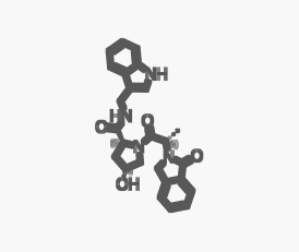 C[C@@H](C(=O)N1C[C@H](O)C[C@H]1C(=O)NCc1c[nH]c2ccccc12)N1Cc2ccccc2C1=O